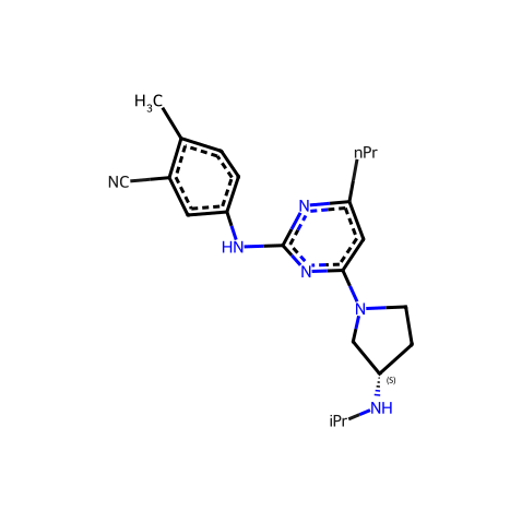 CCCc1cc(N2CC[C@H](NC(C)C)C2)nc(Nc2ccc(C)c(C#N)c2)n1